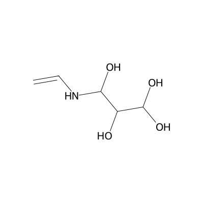 C=CNC(O)C(O)C(O)O